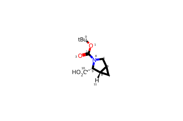 CC(C)(C)OC(=O)N1CC2C[C@@H]2[C@@H]1C(=O)O